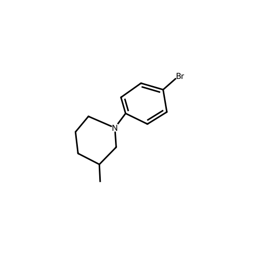 CC1CCCN(c2ccc(Br)cc2)C1